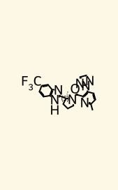 Cc1ccc(-n2nccn2)c(C(=O)N2CCC[C@@]2(C)c2nc3cc(C(F)(F)F)ccc3[nH]2)n1